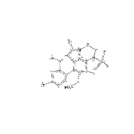 Cc1c(CC(=O)O)c(-c2ccc(Cl)cc2OC(C)(C)C)c2cc(Cl)n3c2c1N(S(C)(=O)=O)CC3